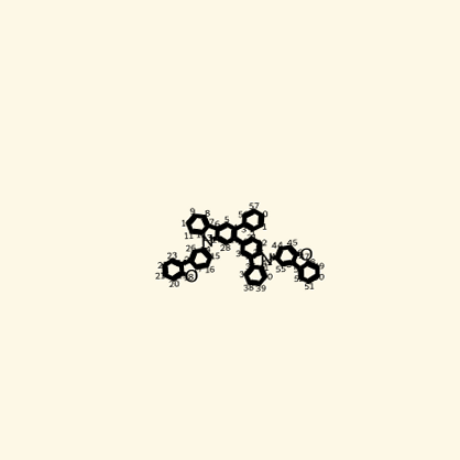 c1ccc(-c2cc3c4ccccc4n(-c4ccc5oc6ccccc6c5c4)c3cc2-c2ccc3c(c2)c2ccccc2n3-c2ccc3oc4ccccc4c3c2)cc1